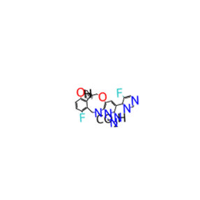 O=C(O)N1Cc2c(F)ccc3c2[C@@H](CO3)COc2cc(-c3ncncc3F)c3nncn3c21